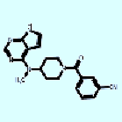 CN(c1ncnc2[nH]ccc12)C1CCN(C(=O)c2cccc(C#N)c2)CC1